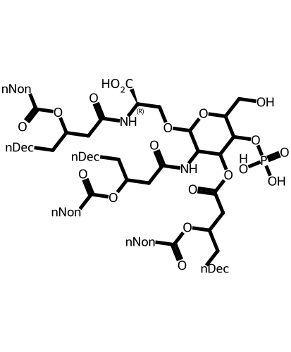 CCCCCCCCCCCC(CC(=O)NC1C(OC[C@@H](NC(=O)CC(CCCCCCCCCCC)OC(=O)CCCCCCCCC)C(=O)O)OC(CO)C(OP(=O)(O)O)C1OC(=O)CC(CCCCCCCCCCC)OC(=O)CCCCCCCCC)OC(=O)CCCCCCCCC